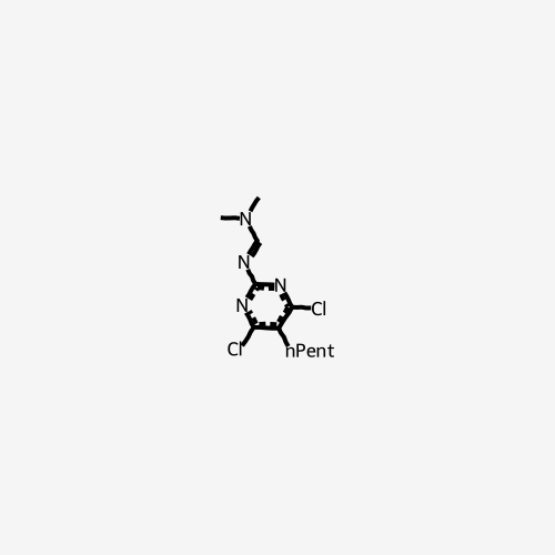 CCCCCc1c(Cl)nc(/N=C/N(C)C)nc1Cl